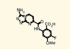 COc1cc(NC(=O)c2ccn3c(N)nnc3n2)c(C(=O)O)cc1F